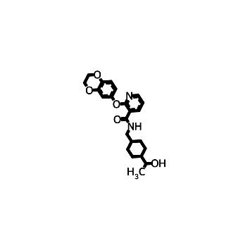 CC(O)C1CCC(CNC(=O)c2cccnc2Oc2ccc3c(c2)OCCO3)CC1